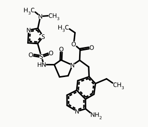 CCOC(=O)C(Cc1cc2ccnc(N)c2cc1CC)N1CCC(NS(=O)(=O)c2cnc(N(C)C)s2)C1=O